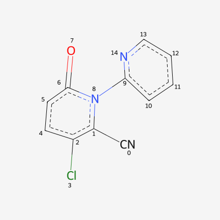 N#Cc1c(Cl)ccc(=O)n1-c1ccccn1